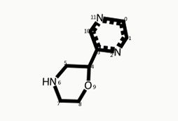 c1cnc(C2CNCCO2)cn1